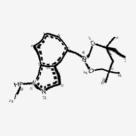 CC1(C)OB(c2cccc3c2cnn3PI)OC1(C)C